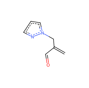 C=C(C=O)Cn1cccn1